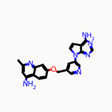 Cc1cc(N)c2ccc(OCc3cncc(-n4ccc5c(N)ncnc54)c3)cc2n1